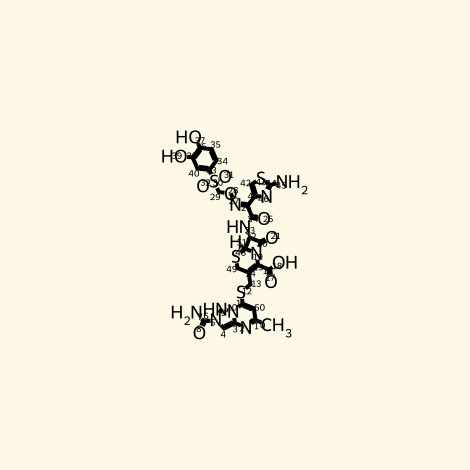 CC1=NC2=CN(C(N)=O)NN2C(SCC2=C(C(=O)O)N3C(=O)[C@@H](NC(=O)C(=NOCS(=O)(=O)c4ccc(O)c(O)c4)c4csc(N)n4)[C@H]3SC2)=C1